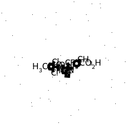 CCC1(CN(CC(=O)c2c(Cl)cc(C)cc2Cl)C(=O)c2cnn(C3CCC(C)(C(=O)O)CC3)c2C(F)(F)F)CCC1